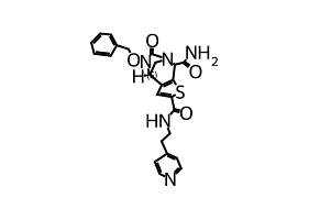 NC(=O)C1c2sc(C(=O)NCCc3ccncc3)cc2[C@H]2CN1C(=O)N2OCc1ccccc1